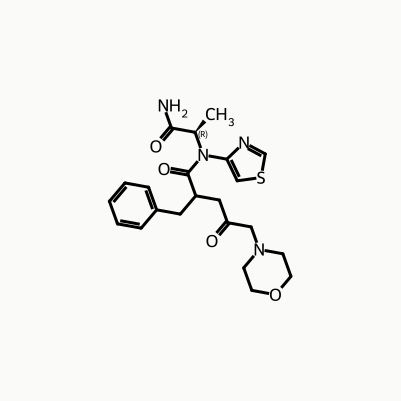 C[C@H](C(N)=O)N(C(=O)C(CC(=O)CN1CCOCC1)Cc1ccccc1)c1cscn1